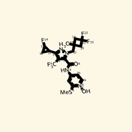 CSc1cc(NC(=O)c2c(C(F)(F)F)c(C3CC3F)nn2CC2(C)CC(F)(F)C2)cc[n+]1O